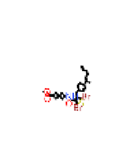 C=C/C=C\C=C(/C)c1ccc(Cc2c(Br)sc(Br)c2C(=O)NC2CC3(C2)CC(C(=O)OC)C3)cc1